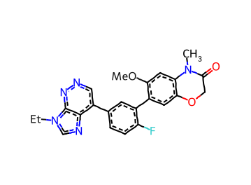 CCn1cnc2c(-c3ccc(F)c(-c4cc5c(cc4OC)N(C)C(=O)CO5)c3)cnnc21